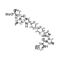 COC(=O)N[C@@H](CC(C)C)C(=O)N1C[C@H](F)C[C@H]1c1ncc(-c2ccc(-c3ccc(-c4cnc([C@@H]5C[C@@H](F)CN5C(=O)[C@H](CC(C)C)NC(=O)O)[nH]4)cc3)cc2)[nH]1